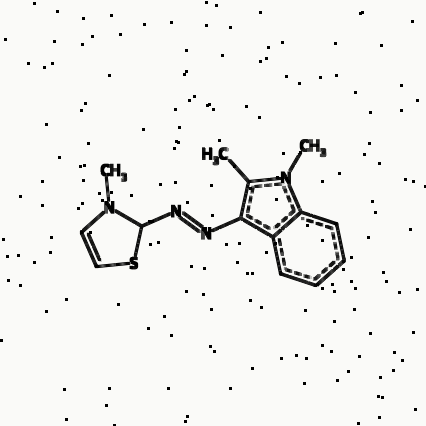 Cc1c(N=NC2SC=CN2C)c2ccccc2n1C